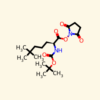 CC(C)(C)CCC[C@H](NC(=O)OC(C)(C)C)C(=O)ON1C(=O)CCC1=O